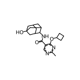 Cc1ncc(C(=O)NC2C3CC4CC2CC(O)(C4)C3)c(OC2CCC2)n1